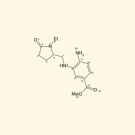 CCN1C(=O)CCC1CNc1cc(C(=O)OC)ccc1N